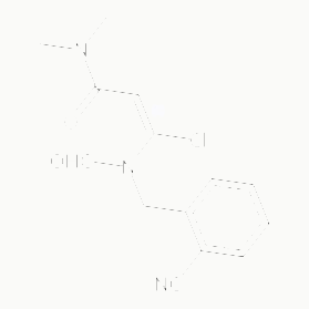 CN(C)C(=O)/C=C(/Cl)N(C=O)Cc1ccccc1C#N